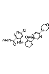 CNC(=O)c1nnc(Cl)cc1Nc1cccc(-c2cnc(N3CCOCC3)cn2)c1OC